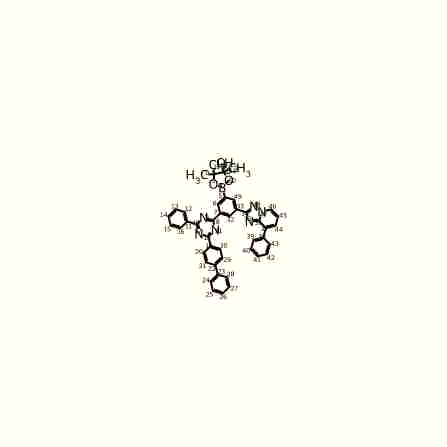 CC1(C)OB(c2cc(-c3nc(-c4ccccc4)nc(-c4ccc(-c5ccccc5)cc4)n3)cc(-c3nc4c(-c5ccccc5)cccn4n3)c2)OC1(C)C